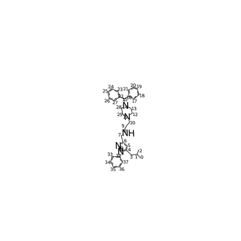 CC(C)Cc1cc(CNCCN2CCN(C(c3ccccc3)c3ccccc3)CC2)nn1-c1ccccc1